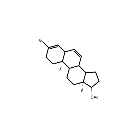 CC(=O)O[C@H]1CCC2C3C=CC4C=C(Br)CC[C@]4(C)C3CC[C@@]21C